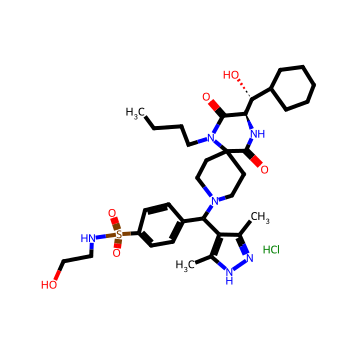 CCCCN1C(=O)[C@@H]([C@H](O)C2CCCCC2)NC(=O)C12CCN(C(c1ccc(S(=O)(=O)NCCO)cc1)c1c(C)n[nH]c1C)CC2.Cl